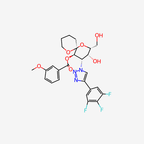 COc1cccc(C(=O)O[C@@H]2[C@@H](n3cc(-c4cc(F)c(F)c(F)c4)nn3)[C@@H](O)[C@@H](CO)O[C@@]23CCCCO3)c1